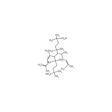 C=C(C)C/C=C(/C)C(C(C(C)CC=C(C)C)C(C)(C)CCC(C)(C)C(=O)O)C(C)(C)CCC(C)(C)C(=O)O